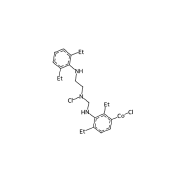 CCc1cccc(CC)c1NCCN(Cl)CNc1c(CC)cc[c]([Co][Cl])c1CC